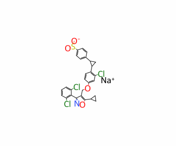 O=S([O-])c1ccc(C2CC2c2ccc(OCc3c(-c4c(Cl)cccc4Cl)noc3C3CC3)cc2Cl)cc1.[Na+]